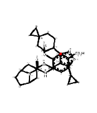 CCOc1cc(C(=O)O)ccc1NC(=O)N1C2CCC1CC(OCc1c(C3CCC4(CC3)CC4)noc1C1CC1)C2